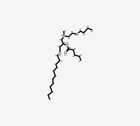 CCCCCCCCCCCCOCC(CN(C)CCOCCCC)OC(=O)CCCC